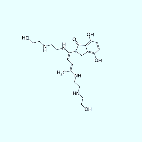 C/C(=C\C=C(\NCCNCCO)I1Cc2c(O)ccc(O)c2C1=O)NCCNCCO